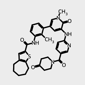 Cc1c(NC(=O)c2cc3c(s2)CCCCC3)cccc1-c1cc(Nc2ccc(C(=O)N3CCC(=O)CC3)cn2)c(=O)n(C)c1